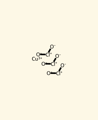 [Cu+3].[O-][Cl+][O-].[O-][Cl+][O-].[O-][Cl+][O-]